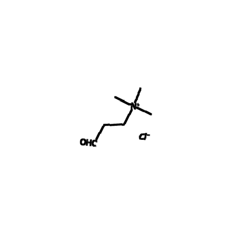 C[N+](C)(C)CCC=O.[Cl-]